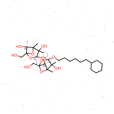 CC1(O)C2(C)OC(CO)(O[C@]1(C)O[C@]1(C)C3(CO)OC1(C)C(C)(O)[C@](C)(OCCCCCCC1CCCCC1)O3)[C@@]2(C)O